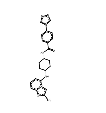 O=C(N[C@H]1CC[C@@H](Nc2cccc3nc(C(F)(F)F)cn23)CC1)c1ccc(-n2cnnc2)cc1